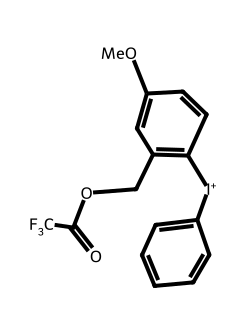 COc1ccc([I+]c2ccccc2)c(COC(=O)C(F)(F)F)c1